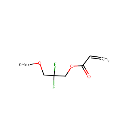 C=CC(=O)OCC(F)(F)COCCCCCC